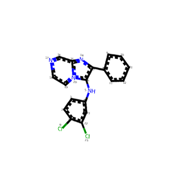 Clc1ccc(Nc2c(-c3ccccc3)nc3cnccn23)cc1Cl